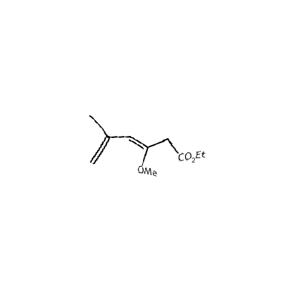 C=C(C)/C=C(/CC(=O)OCC)OC